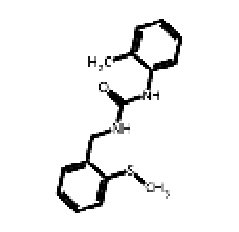 CSc1ccccc1CNC(=O)Nc1ccccc1C